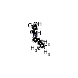 Cc1cc(C)c(Cn2ccc3c(/C=N/NC(=O)c4ccc(O)c(Cl)c4)cccc32)c(C)c1